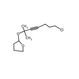 CC(C)(C#CCCCCl)OC1CCCO1